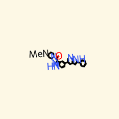 CNC1CCN(C(=O)c2n[nH]c3ccc(-c4cnc5[nH]c(-c6ccccc6)cc5c4)cc23)CC1